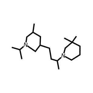 CC1CC(CCC(C)N2CCCC(C)(C)C2)CN(C(C)C)C1